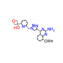 COc1cccc2c(-c3cn(Cc4cccc(C5(O)COC5)n4)nn3)nc(N)nc12